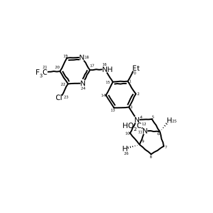 CCc1cc(N2C[C@H]3CC[C@@H](C2)N3C(=O)O)ccc1Nc1ncc(C(F)(F)F)c(Cl)n1